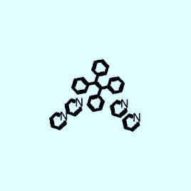 c1ccc(C(=C(c2ccccc2)c2ccccc2)c2ccccc2)cc1.c1ccncc1.c1ccncc1.c1ccncc1.c1ccncc1